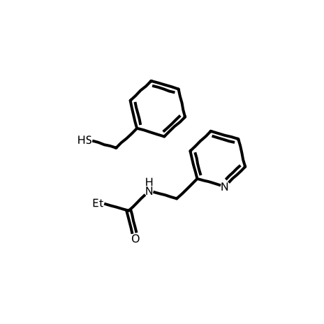 CCC(=O)NCc1ccccn1.SCc1ccccc1